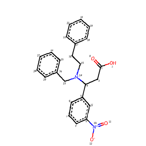 O=C(O)CC(c1cccc([N+](=O)[O-])c1)N(CCc1ccccc1)Cc1ccccc1